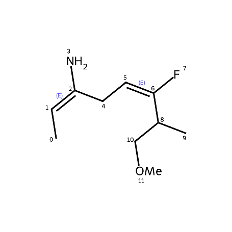 C/C=C(/N)C/C=C(/F)C(C)COC